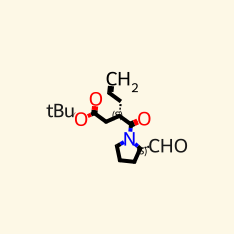 C=CC[C@@H](CC(=O)OC(C)(C)C)C(=O)N1CCC[C@H]1C=O